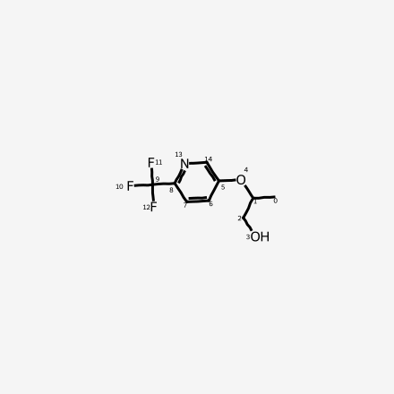 CC(CO)Oc1ccc(C(F)(F)F)nc1